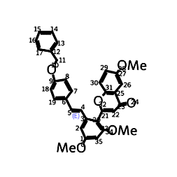 COc1cc(/C=C/c2ccc(OCc3ccccc3)cc2)c(-c2cc(=O)c3cc(OC)ccc3o2)c(OC)c1